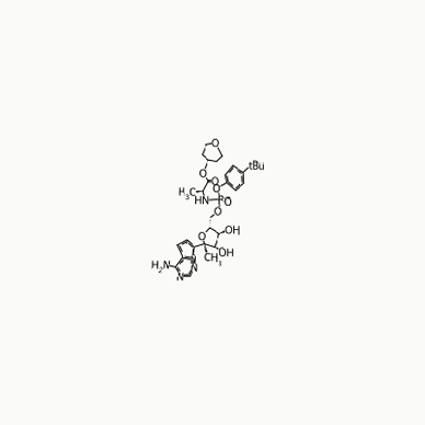 C[C@H](NP(=O)(OC[C@H]1O[C@@](C)(c2ccc3c(N)ncnn23)[C@H](O)[C@@H]1O)Oc1ccc(C(C)(C)C)cc1)C(=O)OC1CCOCC1